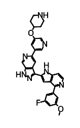 COc1cc(F)cc(-c2nccc3[nH]c(-c4n[nH]c5cnc(-c6cncc(OC7CCNCC7)c6)cc45)cc23)c1